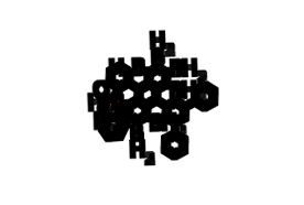 Bc1c(B)c(B)c2c(-c3cccc4oc5cc6ccccc6cc5c34)c3c(B)c(B)c(B)c(B)c3c(-c3cc(-c4ccccc4)cc(-c4ccccc4)c3)c2c1B